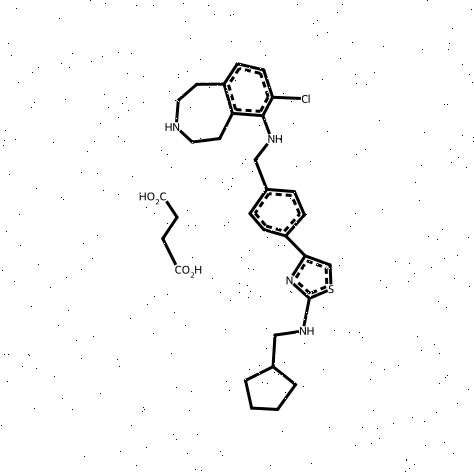 Clc1ccc2c(c1NCc1ccc(-c3csc(NCC4CCCC4)n3)cc1)CCNCC2.O=C(O)CCC(=O)O